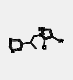 CC(C)c1c[nH][n+](CC(C)c2cncnc2)c1Cl